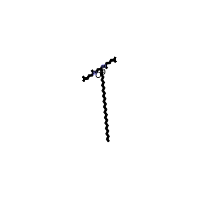 CCCCCCCCCCCCCCCCCCCCCCCCCC(=O)OC(/C=C(\C)CCC=C(C)C)C/C=C(\C)CCC=C(C)C